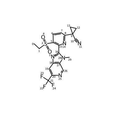 CCS(=O)(=O)c1ccc(C2(C#N)CC2)nc1-c1nc2cc(C(F)(F)F)ncc2n1C